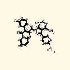 COc1ncc(-c2nn(C(C)c3nc4ccc(F)cn4c(=O)c3-c3cccc(F)c3)c3c2C(N)=NCN3)cn1